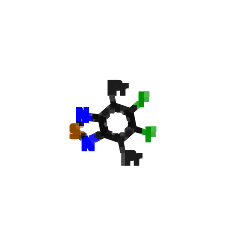 CC(C)c1c(F)c(F)c(C(C)C)c2nsnc12